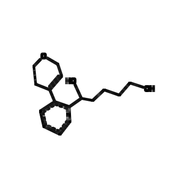 OCCCCC(O)c1ccccc1C1=CCOCC1